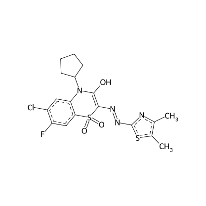 Cc1nc(N=NC2=C(O)N(C3CCCC3)c3cc(Cl)c(F)cc3S2(=O)=O)sc1C